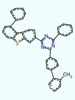 Cc1ccccc1-c1ccc(-c2nc(-c3ccccc3)nc(-c3ccc4c(c3)sc3cccc(-c5ccccc5)c34)n2)cc1